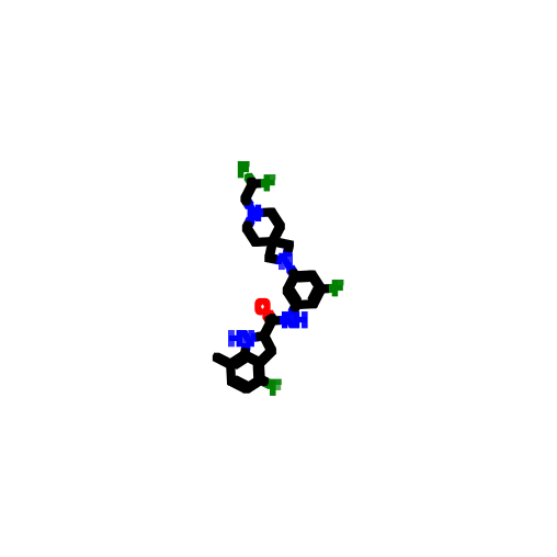 Cc1ccc(F)c2c1NC(C(=O)Nc1cc(F)cc(N3CC4(CCN(CC(F)F)CC4)C3)c1)C2